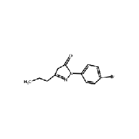 CCCC1=NN(c2ccc(Br)cc2)C(=O)C1